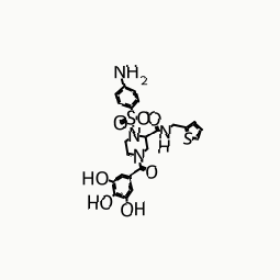 Nc1ccc(S(=O)(=O)N2CCN(C(=O)c3cc(O)c(O)c(O)c3)CC2C(=O)NCc2cccs2)cc1